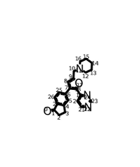 O=C1CCc2cc(-c3cc(CN4CCCCC4)oc3-c3ccncn3)ccc21